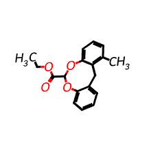 CCOC(=O)C1Oc2ccccc2Cc2c(C)cccc2O1